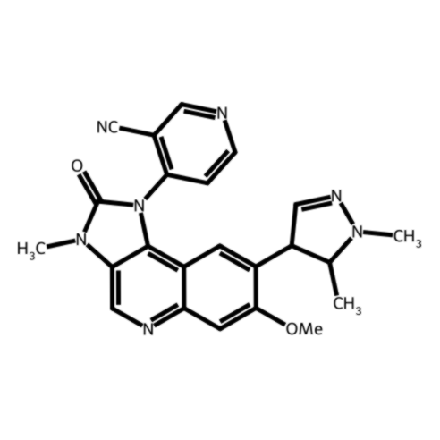 COc1cc2ncc3c(c2cc1C1C=NN(C)C1C)n(-c1ccncc1C#N)c(=O)n3C